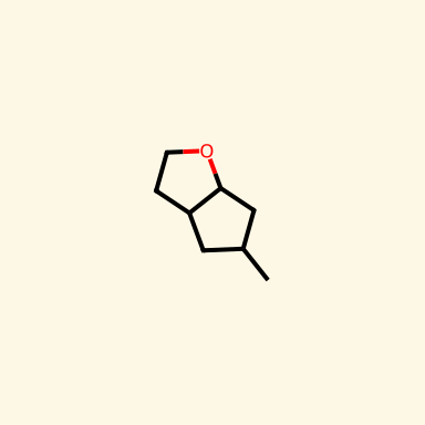 CC1CC2CCOC2C1